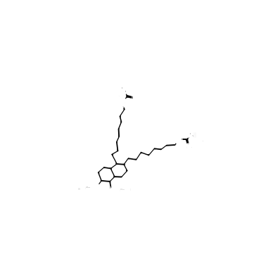 CCCCCC1CCC2C(CCCCCCCCOC(N)=O)C(CCCCCCCCOC(N)=O)CCC2C1CCCCC